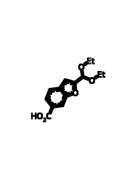 CCOC(OCC)c1cc2ccc(C(=O)O)cc2o1